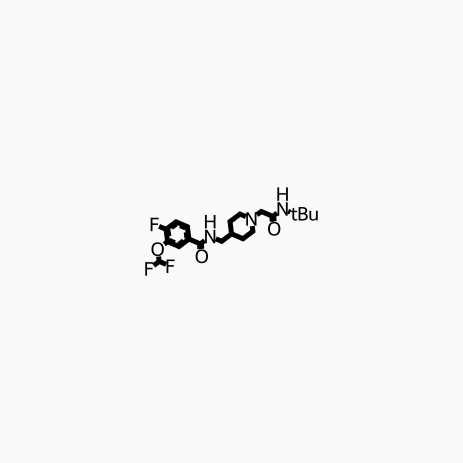 CC(C)(C)NC(=O)CN1CCC(CNC(=O)c2ccc(F)c(OC(F)F)c2)CC1